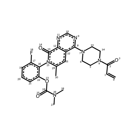 C=CC(=O)N1CCN(c2ncnc3c(=O)n(-c4c(F)cccc4OC(=O)N(C)C)c(C)cc23)CC1